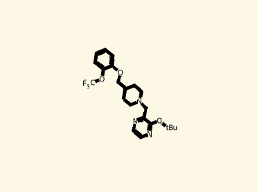 CC(C)(C)Oc1nccnc1CN1CCC(COc2ccccc2OC(F)(F)F)CC1